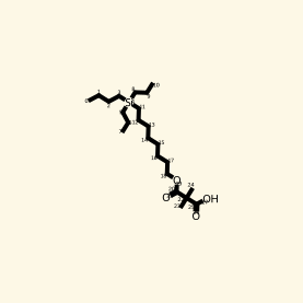 CCCC[Si](CCC)(CCC)CCCCCCCCOC(=O)C(C)(C)C(=O)O